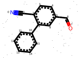 N#Cc1ccc(C=O)cc1-c1ccccc1